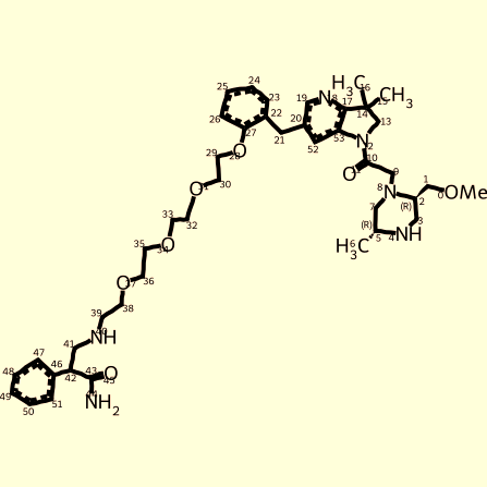 COC[C@H]1CN[C@H](C)CN1CC(=O)N1CC(C)(C)c2ncc(Cc3ccccc3OCCOCCOCCOCCNCC(C(N)=O)c3ccccc3)cc21